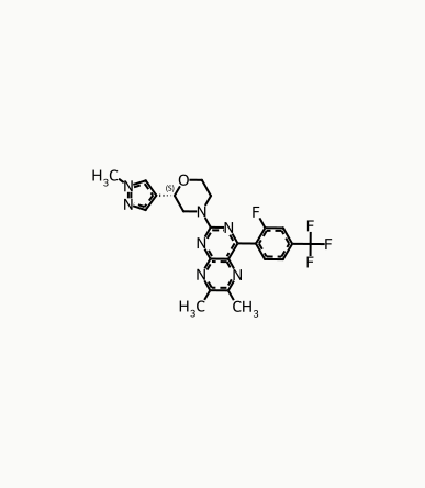 Cc1nc2nc(N3CCO[C@@H](c4cnn(C)c4)C3)nc(-c3ccc(C(F)(F)F)cc3F)c2nc1C